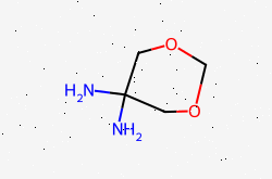 NC1(N)COCOC1